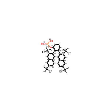 CCC(C)(C)c1ccc2cc(-c3cccc(OP(O)O)c3-c3cc4ccc(C(C)(C)CC)cc4cc3C(C)(C)CC)c(C(C)(C)CC)cc2c1